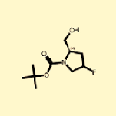 CC(C)(C)OC(=O)N1CC(F)C[C@@H]1CO